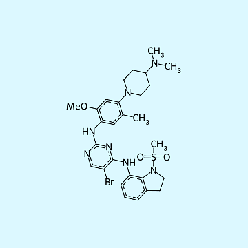 COc1cc(N2CCC(N(C)C)CC2)c(C)cc1Nc1ncc(Br)c(Nc2cccc3c2N(S(C)(=O)=O)CC3)n1